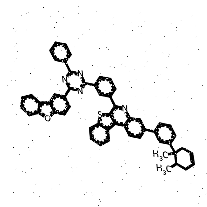 CC1CC=CCC1(C)c1cccc(-c2ccc3c(c2)nc(-c2cccc(-c4nc(-c5ccccc5)nc(-c5ccc6oc7ccccc7c6c5)n4)c2)c2sc4ccccc4c23)c1